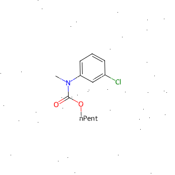 [CH2]CCCCOC(=O)N(C)c1cccc(Cl)c1